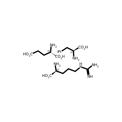 CC(C)C[C@H](N)C(=O)O.N=C(N)NCCC[C@H](N)C(=O)O.N[C@@H](CCC(=O)O)C(=O)O